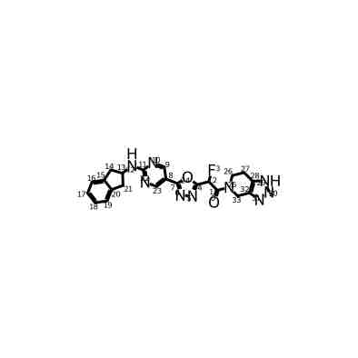 O=C(C(F)c1nnc(-c2cnc(NC3Cc4ccccc4C3)nc2)o1)N1CCc2[nH]nnc2C1